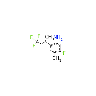 Cc1cc(C(C)CC(F)(F)F)c(N)cc1F